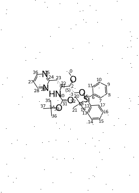 CO[C@H](CO[Si](c1ccccc1)(c1ccccc1)C(C)(C)C)[C@@H](Cc1ncccn1)NC(=O)OC(C)(C)C